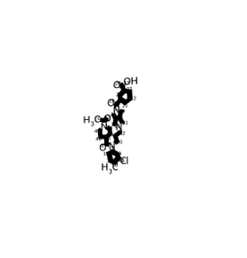 CC(=O)N1CCC(C(=O)N(CCCN2CC3CN(C(=O)c4cccc(C(=O)O)c4)CC3C2)c2ccc(C)c(Cl)c2)CC1